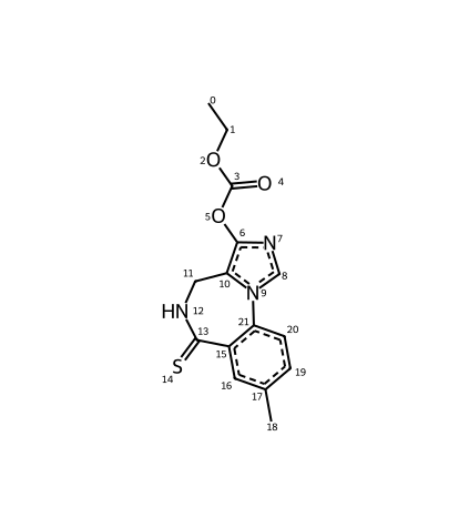 CCOC(=O)Oc1ncn2c1CNC(=S)c1cc(C)ccc1-2